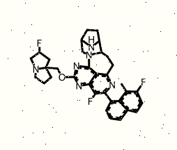 Cc1c(F)ccc2cccc(-c3nc4c5c(nc(OCC67CCCN6CC(F)C7)nc5c3F)N3CC5CCC(N5)C3CC4)c12